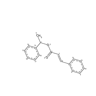 CC(OC(=O)C=Cc1ccccc1)c1ccccc1